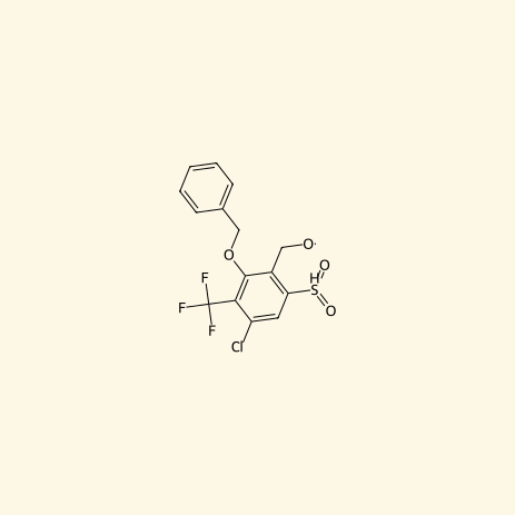 [O]Cc1c([SH](=O)=O)cc(Cl)c(C(F)(F)F)c1OCc1ccccc1